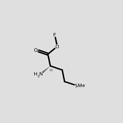 CSCC[C@H](N)C(=O)OF